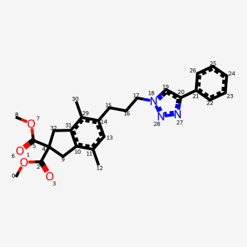 COC(=O)C1(C(=O)OC)Cc2c(C)cc(CCCn3cc(-c4ccccc4)nn3)c(C)c2C1